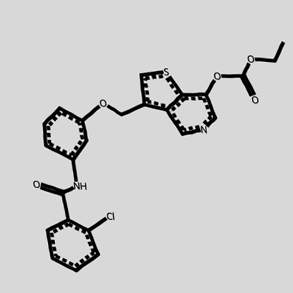 CCOC(=O)Oc1cncc2c(COc3cccc(NC(=O)c4ccccc4Cl)c3)csc12